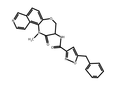 CN1C(=O)C(NC(=O)c2cc(Cc3ccccc3)on2)COc2ccc3cnccc3c21